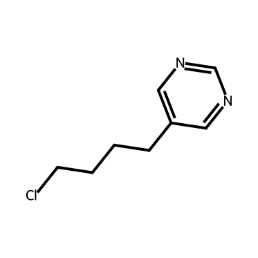 ClCCCCc1cncnc1